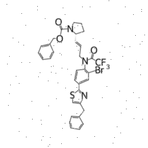 O=C(OCc1ccccc1)N1CCC[C@@H]1C=CCN(C(=O)C(F)(F)F)c1ccc(-c2nc(Cc3ccccc3)cs2)cc1Br